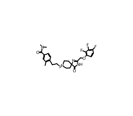 Cc1cc(C(=O)N(C)C)ccc1CCSN1CCC2(CC1)N=C(COc1ccc(F)c(F)c1F)NC2=O